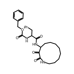 CC(C)CC(NC(=O)OCc1ccccc1)C(=O)NC1CCCCCCCCNC(=O)C1=O